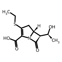 CCSC1=C(C(=O)O)N2C(=O)[C@H]([C@H](C)O)[C@H]2C1